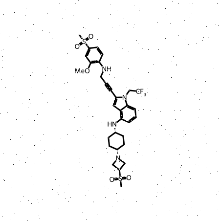 COc1cc(S(C)(=O)=O)ccc1NCC#Cc1cc2c(N[C@H]3CC[C@@H](N4CC(S(C)(=O)=O)C4)CC3)cccc2n1CC(F)(F)F